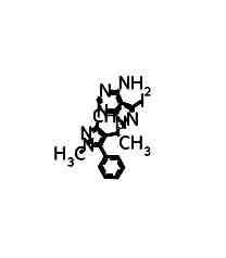 Cc1nn(C)c(-c2ccccc2)c1C(C)n1nc(I)c2c(N)ncnc21